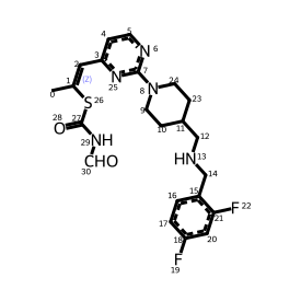 C/C(=C/c1ccnc(N2CCC(CNCc3ccc(F)cc3F)CC2)n1)SC(=O)NC=O